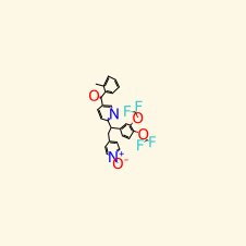 Cc1ccccc1C(=O)c1ccc(C(Cc2cc[n+]([O-])cc2)c2ccc(OC(F)F)c(OC(F)F)c2)nc1